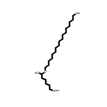 CCCCCCCCCCCCCCCC(O)OCCCCCCCCCCCCCCCCCO